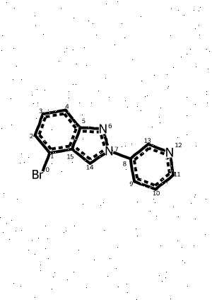 Brc1cccc2nn(-c3cccnc3)cc12